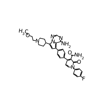 COCCN1CCC(c2cc(-c3ccc(-c4ccn(-c5ccc(F)cc5)c(=O)c4C(N)=O)cc3)c3c(N)ncnn23)CC1